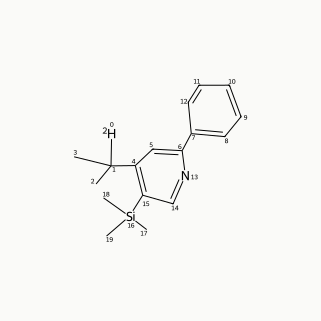 [2H]C(C)(C)c1cc(-c2ccccc2)ncc1[Si](C)(C)C